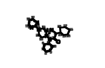 NC(C(=O)N(c1ccccc1)N1CCN(c2ncccn2)CC1)C1CCCCC1